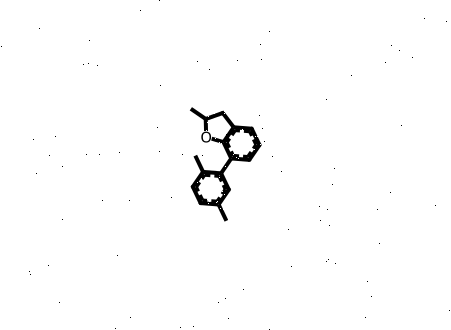 Cc1ccc(C)c(-c2cccc3c2OC(C)C3)c1